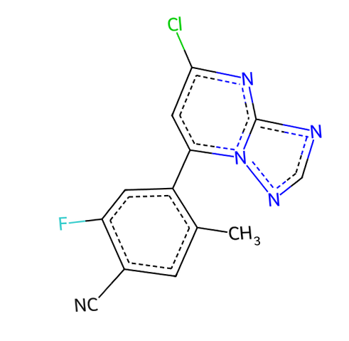 Cc1cc(C#N)c(F)cc1-c1cc(Cl)nc2ncnn12